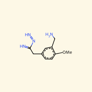 COc1ccc(CC(=N)N=N)cc1CN